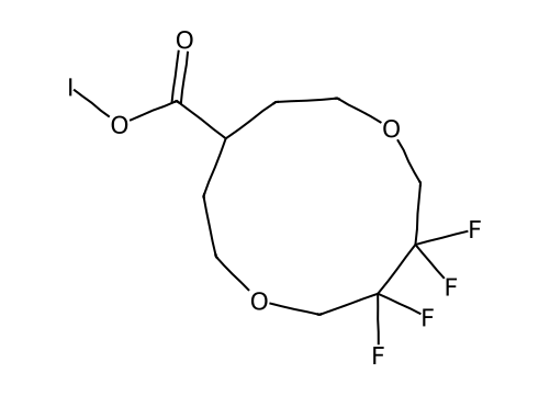 O=C(OI)C1CCOCC(F)(F)C(F)(F)COCC1